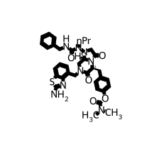 CCCN(C(=O)NCc1ccccc1)N1CC(=O)N2[C@@H](Cc3ccc(OC(=O)N(C)C)cc3)C(=O)N(Cc3cccc4sc(N)nc34)C[C@@H]21